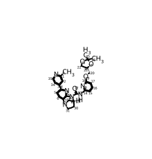 Cc1cc(-c2ccc3c(n2)N(C(=O)Nc2cccc(OC[C@@H]4COC(C)(C)O4)n2)[C@H]2CCN3C2)ccn1